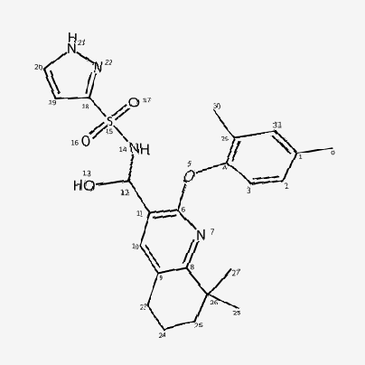 Cc1ccc(Oc2nc3c(cc2C(O)NS(=O)(=O)c2cc[nH]n2)CCCC3(C)C)c(C)c1